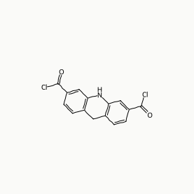 O=C(Cl)c1ccc2c(c1)Nc1cc(C(=O)Cl)ccc1C2